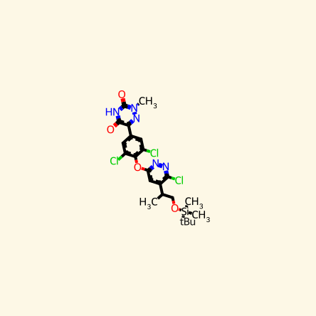 CC(CO[Si](C)(C)C(C)(C)C)c1cc(Oc2c(Cl)cc(-c3nn(C)c(=O)[nH]c3=O)cc2Cl)nnc1Cl